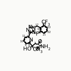 C[C@](O)(CS(N)(=O)=O)c1cccc(-c2nnn(Cc3c(F)cccc3C(F)(F)F)n2)n1